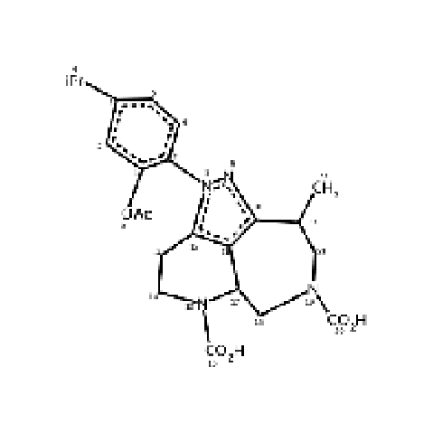 CC(=O)Oc1cc(C(C)C)ccc1-n1nc2c3c1CCN(C(=O)O)C3CN(C(=O)O)CC2C